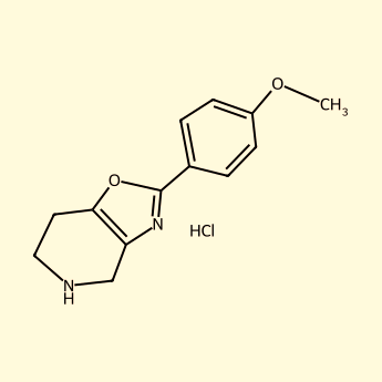 COc1ccc(-c2nc3c(o2)CCNC3)cc1.Cl